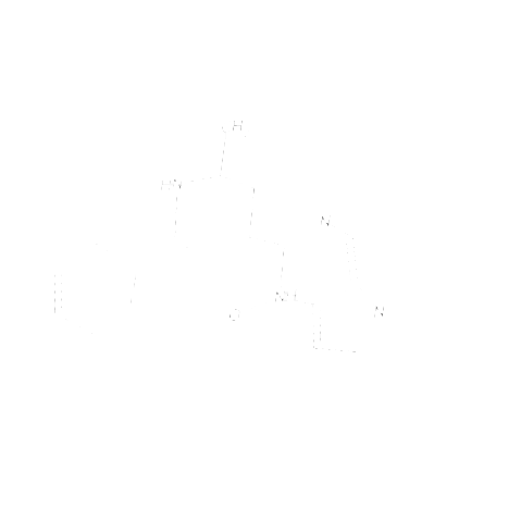 CC1CC(C2=NC=C3N=CC=C3[NH+]2[O-])CC(c2ccccc2)N1